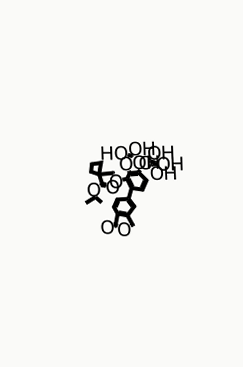 CC(C)OC(=O)C1(COc2c(-c3ccc4c(c3)COC4=O)ccc(OC(O)(O)O)c2OC(O)(O)O)CCC1